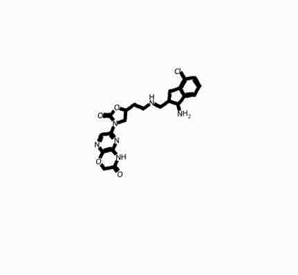 NC1c2cccc(Cl)c2CC1CNCCC1CN(c2cnc3c(n2)NC(=O)CO3)C(=O)O1